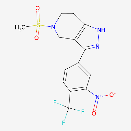 CS(=O)(=O)N1CCc2[nH]nc(-c3ccc(C(F)(F)F)c([N+](=O)[O-])c3)c2C1